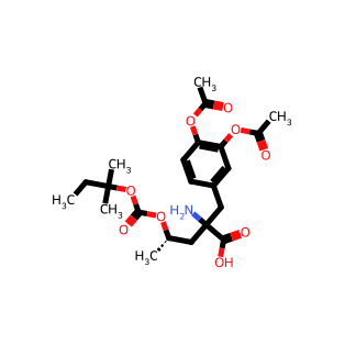 CCC(C)(C)OC(=O)O[C@@H](C)CC(N)(Cc1ccc(OC(C)=O)c(OC(C)=O)c1)C(=O)O